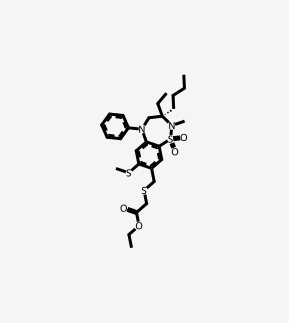 CCCC[C@@]1(CC)CN(c2ccccc2)c2cc(SC)c(CSCC(=O)OCC)cc2S(=O)(=O)N1C